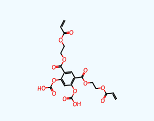 C=CC(=O)OCCOC(=O)c1cc(C(=O)OCCOC(=O)C=C)c(OC(=O)O)cc1OC(=O)O